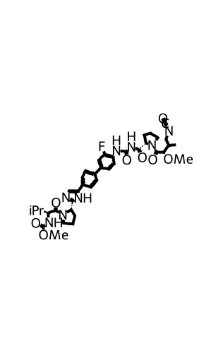 COC(=O)N[C@H](C(=O)N1CCC[C@H]1c1ncc(-c2ccc(-c3ccc(NC(=O)NC(=O)[C@@H]4CCCN4C(=O)[C@@H](OC)C(C)CN=C=O)c(F)c3)cc2)[nH]1)C(C)C